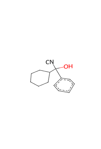 [C-]#[N+]C(O)(c1ccccc1)C1CCCCC1